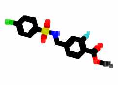 COC(=O)c1ccc(CNS(=O)(=O)c2ccc(Cl)cc2)cc1F